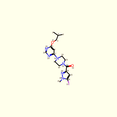 CC(C)COc1cc(N2CCN(C(=O)c3cc(I)n(C)n3)CC2)ncn1